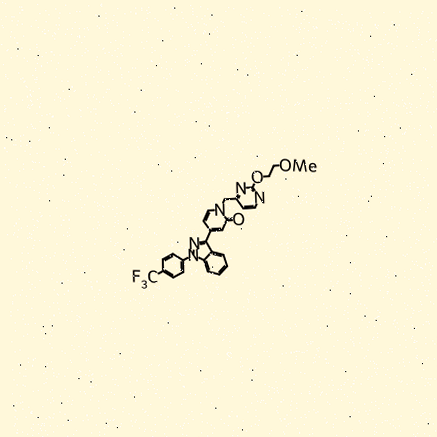 COCCOc1nccc(Cn2ccc(-c3nn(-c4ccc(C(F)(F)F)cc4)c4ccccc34)cc2=O)n1